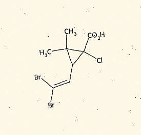 CC1(C)C(C=C(Br)Br)C1(Cl)C(=O)O